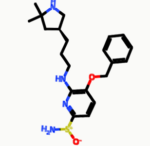 CC1(C)C[C@H](CCCNc2nc([S+](N)[O-])ccc2OCc2ccccc2)CN1